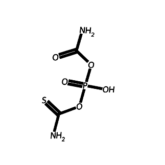 NC(=O)OP(=O)(O)OC(N)=S